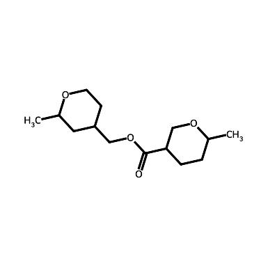 CC1CCC(C(=O)OCC2CCOC(C)C2)CO1